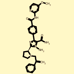 C=C(CN1CCC[C@H]1c1nc(-c2ccc(C(=O)Nc3cc(OC)ccn3)cc2)c(C(N)=O)n1N)c1ccccc1